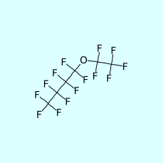 FC(F)(F)C(F)(F)OC(F)(F)C(F)(F)C(F)(F)C(F)(F)F